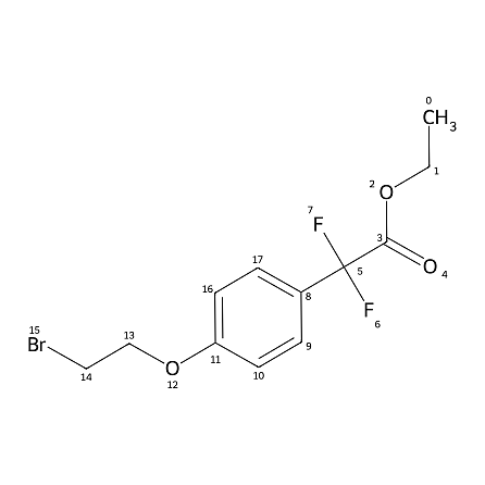 CCOC(=O)C(F)(F)c1ccc(OCCBr)cc1